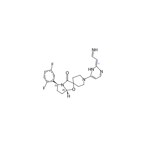 N=C/C=C1/N=CC=C(N2CCC3(CC2)O[C@@H]2CC[C@@H](c4cc(F)ccc4F)N2C3=O)N1